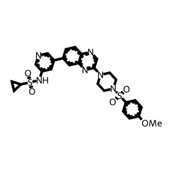 COc1ccc(S(=O)(=O)N2CCN(c3cnc4ccc(-c5cncc(NS(=O)(=O)C6CC6)c5)cc4n3)CC2)cc1